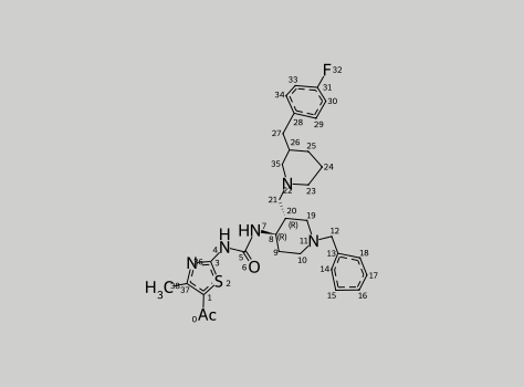 CC(=O)c1sc(NC(=O)N[C@@H]2CCN(Cc3ccccc3)C[C@H]2CN2CCCC(Cc3ccc(F)cc3)C2)nc1C